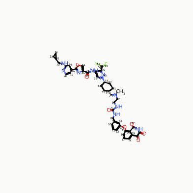 CN(CCNC(=O)NCc1cccc(Oc2cccc3c2C(=O)NC(=O)C3=O)c1)C[C@H]1CC[C@H](n2cc(NC(=O)c3coc(-c4ccnc(NCC5CC5)c4)n3)c(C(F)F)n2)CC1